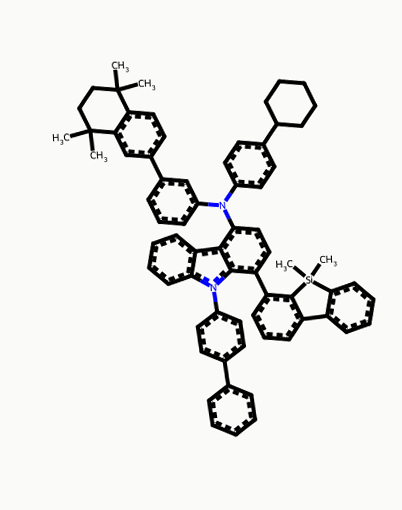 CC1(C)CCC(C)(C)c2cc(-c3cccc(N(c4ccc(C5CCCCC5)cc4)c4ccc(-c5cccc6c5[Si](C)(C)c5ccccc5-6)c5c4c4ccccc4n5-c4ccc(-c5ccccc5)cc4)c3)ccc21